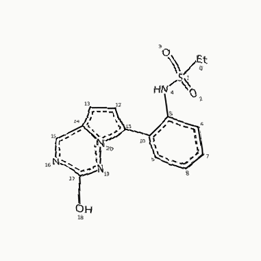 CCS(=O)(=O)Nc1ccccc1-c1ccc2cnc(O)nn12